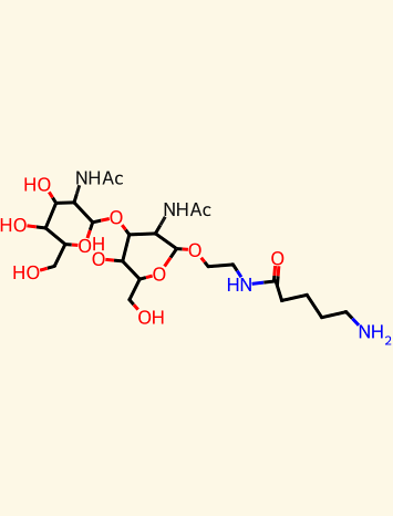 CC(=O)NC1C(OC2C(O)C(CO)OC(OCCNC(=O)CCCCN)C2NC(C)=O)OC(CO)C(O)C1O